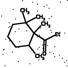 CCC(=O)C1(C)C(C)CCCC1(C)C